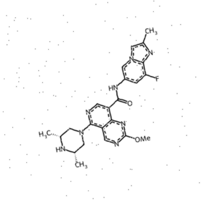 COc1ncc2c(N3C[C@@H](C)N[C@@H](C)C3)ncc(C(=O)Nc3cc(F)c4nc(C)cn4c3)c2n1